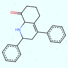 O=C1CCCC2=C(c3ccccc3)CC(c3ccccc3)NC12